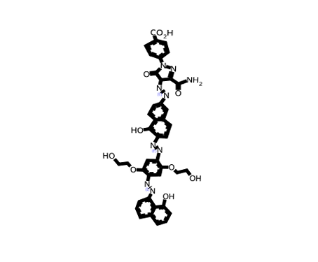 NC(=O)C1=NN(c2ccc(C(=O)O)cc2)C(=O)C1/N=N/c1ccc2c(O)c(/N=N/c3cc(OCCO)c(/N=N/c4cccc5cccc(O)c45)cc3OCCO)ccc2c1